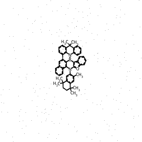 Cc1cc2c(cc1N1c3oc4ccccc4c3B3c4c(cc5ccccc5c41)-c1cccc4c1N3c1ccccc1C4(C)C)C(C)(C)CCC2(C)C